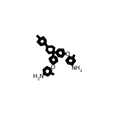 Cc1ccc(C2CCC(c3ccc(Oc4ccc(N)cc4C)cc3)(c3ccc(Oc4ccc(N)cc4C)cc3)CC2)cc1